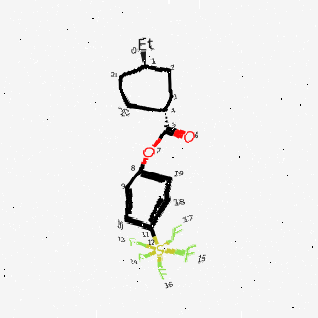 CC[C@H]1CC[C@H](C(=O)Oc2ccc(S(F)(F)(F)(F)F)cc2)CC1